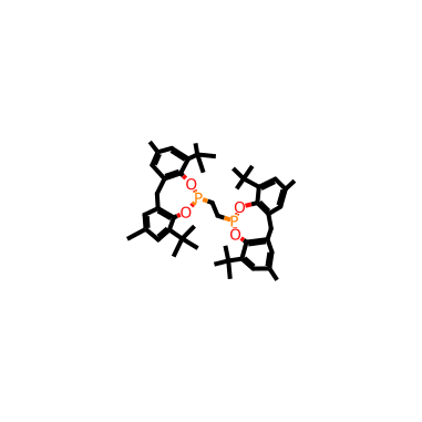 Cc1cc2c(c(C(C)(C)C)c1)OP(CCP1Oc3c(cc(C)cc3C(C)(C)C)Cc3cc(C)cc(C(C)(C)C)c3O1)Oc1c(cc(C)cc1C(C)(C)C)C2